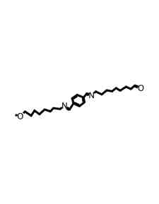 COCCCCCCCCN=Cc1ccc(C=NCCCCCCCCC=O)cc1